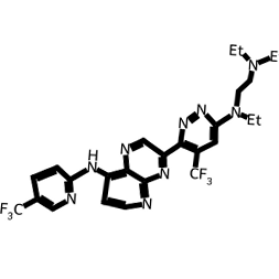 CCN(CC)CCN(CC)c1cc(C(F)(F)F)c(-c2cnc3c(Nc4ccc(C(F)(F)F)cn4)ccnc3n2)nn1